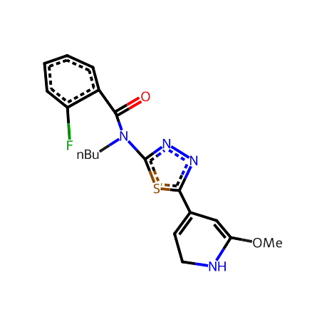 CCCCN(C(=O)c1ccccc1F)c1nnc(C2=CCNC(OC)=C2)s1